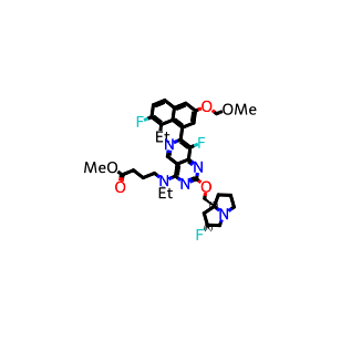 CCc1c(F)ccc2cc(OCOC)cc(-c3ncc4c(N(CC)CCCC(=O)OC)nc(OC[C@@]56CCCN5C[C@H](F)C6)nc4c3F)c12